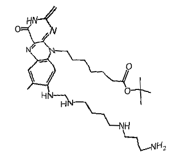 C=c1nc2c(c(=O)[nH]1)=Nc1cc(C)c(NCNCCCCNCCCN)cc1N2CCCCCCC(=O)OC(C)(C)C